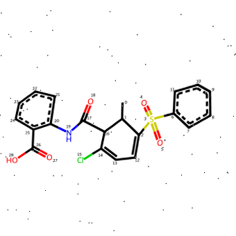 CC1C(S(=O)(=O)c2ccccc2)=CC=C(Cl)C1C(=O)Nc1ccccc1C(=O)O